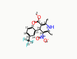 COC(=O)C1=C(C)NC(C)=C([N+](=O)[O-])C1c1cccc(C(F)(F)F)c1